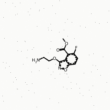 COC(=O)c1c(F)ccc2onc(OCCN)c12